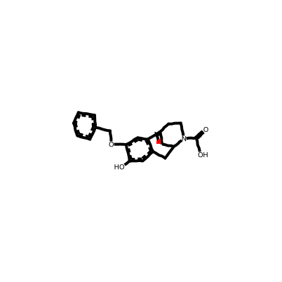 O=C(O)N1CCC23CCCCC2C1Cc1cc(O)c(OCc2ccccc2)cc13